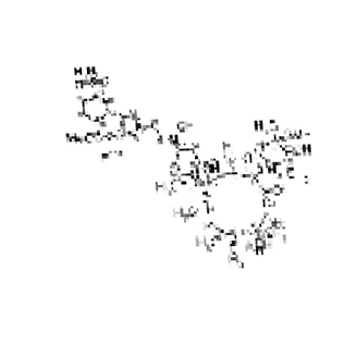 CC[C@H]1OC(=O)[C@H](C)[C@@H](O[C@H]2C[C@@](C)(OC)[C@@H](O)[C@H](C)O2)[C@H](C)[C@@H](O[C@H]2C[C@@H](N(C)CCc3cn([C@H](CF)[C@H](OC)c4ccc(S(N)(=O)=O)cc4)nn3)C[C@@H](C)O2)[C@](C)(O)C[C@@H](C)CN(C)[C@H](C)[C@@H](O)[C@]1(C)O